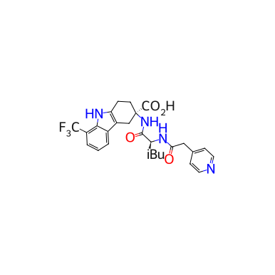 CCC(C)[C@H](NC(=O)Cc1ccncc1)C(=O)N[C@]1(C(=O)O)CCc2[nH]c3c(C(F)(F)F)cccc3c2C1